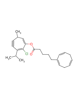 CC1C#CC(C(C)C)=C(Cl)C(OC(=O)CCCCC2=C/C/C=C\C/C=C\2)=C1